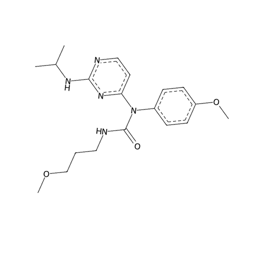 COCCCNC(=O)N(c1ccc(OC)cc1)c1ccnc(NC(C)C)n1